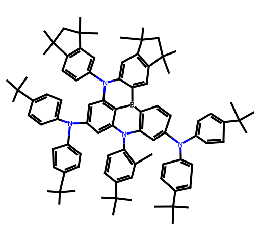 Cc1cc(C(C)(C)C)ccc1N1c2cc(N(c3ccc(C(C)(C)C)cc3)c3ccc(C(C)(C)C)cc3)ccc2B2c3cc4c(cc3N(c3ccc5c(c3)C(C)(C)CC5(C)C)c3cc(N(c5ccc(C(C)(C)C)cc5)c5ccc(C(C)(C)C)cc5)cc1c32)C(C)(C)CC4(C)C